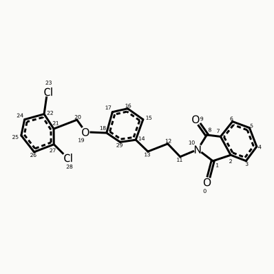 O=C1c2ccccc2C(=O)N1CCCc1cccc(OCc2c(Cl)cccc2Cl)c1